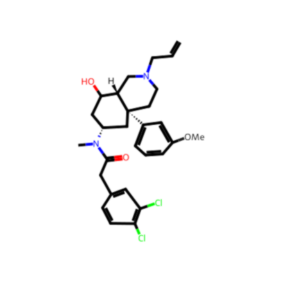 C=CCN1CC[C@@]2(c3cccc(OC)c3)C[C@H](N(C)C(=O)Cc3ccc(Cl)c(Cl)c3)CC(O)[C@@H]2C1